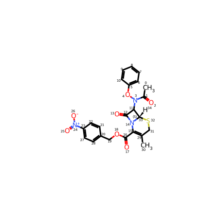 CC(=O)N(Oc1ccccc1)C1C(=O)N2C(C(=O)OCc3ccc([N+](=O)[O-])cc3)=C(C)CS[C@@H]12